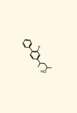 CC(O)CC(C)c1ccc(-c2ccccc2)c(F)c1